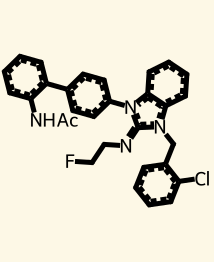 CC(=O)Nc1ccccc1-c1ccc(-n2c(=NCCF)n(Cc3ccccc3Cl)c3ccccc32)cc1